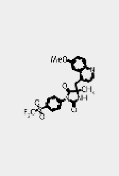 COc1ccc2nccc(CC3(C)NC(=O)N(c4ccc(S(=O)(=O)C(F)(F)F)cc4)C3=O)c2c1